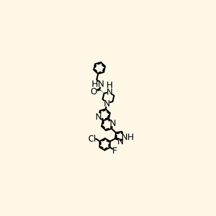 O=C(NCc1ccccc1)[C@H]1CN(c2cnc3ccc(-c4c[nH]nc4-c4cc(Cl)ccc4F)nc3c2)CCN1